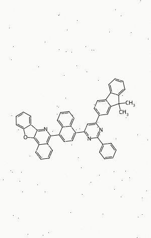 CC1(C)c2ccccc2-c2ccc(-c3cc(-c4ccc(-c5nc6c7ccccc7oc6c6ccccc56)c5ccccc45)nc(-c4ccccc4)n3)cc21